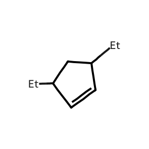 CCC1C=CC(CC)C1